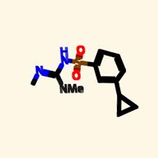 C/N=C(\NC)NS(=O)(=O)c1cccc(C2CC2)c1